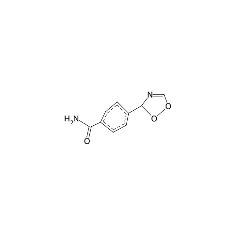 NC(=O)c1ccc(C2N=COO2)cc1